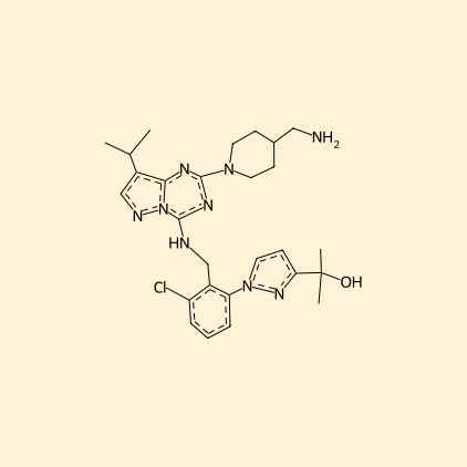 CC(C)c1cnn2c(NCc3c(Cl)cccc3-n3ccc(C(C)(C)O)n3)nc(N3CCC(CN)CC3)nc12